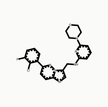 Fc1cccc(-c2ccc3ncc(CNc4cccc(N5CCOCC5)n4)n3n2)c1Cl